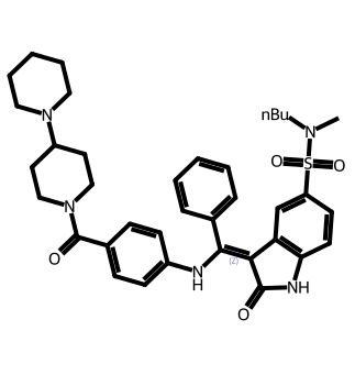 CCCCN(C)S(=O)(=O)c1ccc2c(c1)/C(=C(/Nc1ccc(C(=O)N3CCC(N4CCCCC4)CC3)cc1)c1ccccc1)C(=O)N2